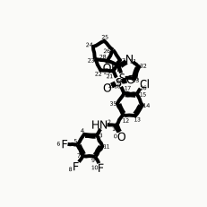 O=C(Nc1cc(F)c(F)c(F)c1)c1ccc(Cl)c(S(=O)(=O)C2CC3CCC(C2)C3(O)c2nccs2)c1